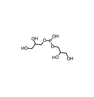 OCC(O)COP(O)OCC(O)CO